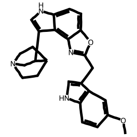 COc1ccc2[nH]cc(Cc3nc4c(ccc5[nH]cc(C6CN7CCC6CC7)c54)o3)c2c1